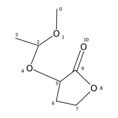 COC(C)OC1CCOC1=O